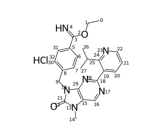 CCOC(=N)c1ccc(Cn2c(=O)n(C)c3cnc(-c4cccnc4C(C)C)nc32)cc1.Cl